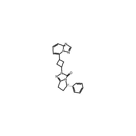 O=c1n(C2CC(c3cccc4ncnn34)C2)nc2n1[C@H](c1ccccc1)CC2